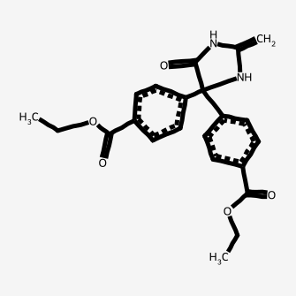 C=C1NC(=O)C(c2ccc(C(=O)OCC)cc2)(c2ccc(C(=O)OCC)cc2)N1